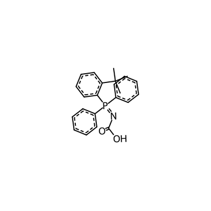 CC(C)(C)c1ccccc1P(=NC(=O)O)(c1ccccc1)c1ccccc1